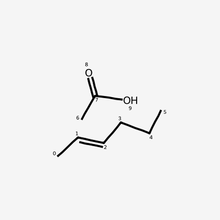 C/C=C/CCC.CC(=O)O